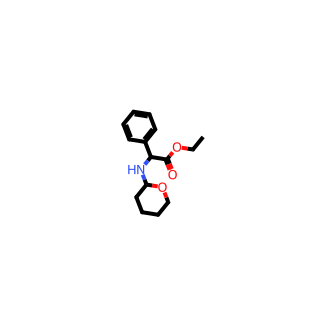 CCOC(=O)C(NC1CCCCO1)c1ccccc1